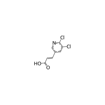 O=C(O)C=Cc1cnc(Cl)c(Cl)c1